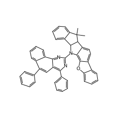 CC1(C)c2ccccc2C2C1c1ccc3c(oc4ccccc43)c1N2c1nc(-c2ccccc2)c2cc(-c3ccccc3)c3ccccc3c2n1